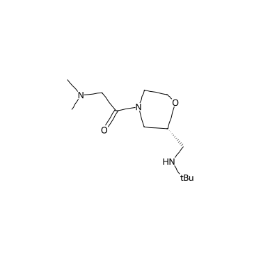 CN(C)CC(=O)N1CCO[C@H](CNC(C)(C)C)C1